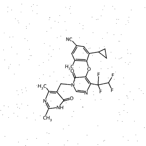 Cc1nc(C)c(Cn2cnc(C(F)(F)C(F)F)c(Oc3c(C)cc(C#N)cc3C3CC3)c2=O)c(=O)[nH]1